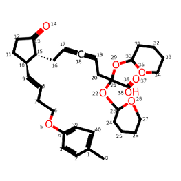 Cc1ccc(OCC/C=C/[C@H]2CCC(=O)[C@@H]2CC=C=CCC(OC2CCCCO2)(OC2CCCCO2)C(=O)O)cc1